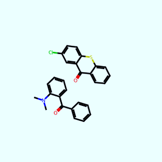 CN(C)c1ccccc1C(=O)c1ccccc1.O=c1c2ccccc2sc2ccc(Cl)cc12